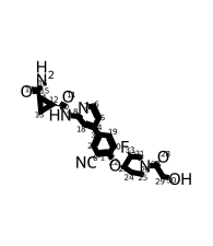 N#Cc1cc(-c2ccnc(NC(=O)[C@@H]3C[C@H]3C(N)=O)c2)ccc1O[C@H]1CCN(C(=O)CO)C[C@H]1F